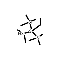 CC[Si]([SiH](C)C)([Si](C)(C)C)[Si](C)(C)C